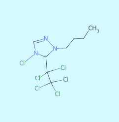 CCCCN1N=CN(Cl)C1C(Cl)(Cl)C(Cl)(Cl)Cl